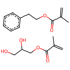 C=C(C)C(=O)OCC(O)CO.C=C(C)C(=O)OCCc1ccccc1